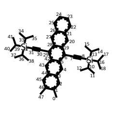 Cc1cc2cc3c(C#C[Si](C(C)C)(C(C)C)C(C)C)c4cc5ccccc5cc4c(C#C[Si](C(C)C)(C(C)C)C(C)C)c3cc2cc1C